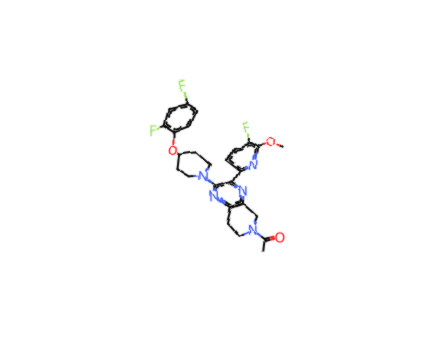 COc1nc(-c2nc3c(nc2N2CCC(Oc4ccc(F)cc4F)CC2)CCN(C(C)=O)C3)ccc1F